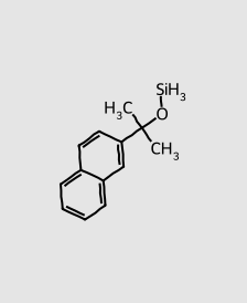 CC(C)(O[SiH3])c1ccc2ccccc2c1